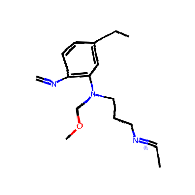 C=Nc1ccc(CC)cc1N(CCC/N=C/C)COC